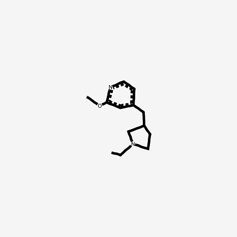 CCN1CCC(Cc2ccnc(OC)c2)C1